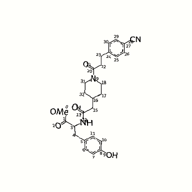 COC(=O)C(Cc1ccc(O)cc1)NC(=O)CC1CCN(C(=O)CCc2ccc(C#N)cc2)CC1